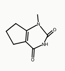 Cn1c2c(c(=O)[nH]c1=O)CCC2